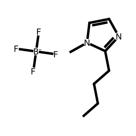 CCCCc1nccn1C.F[B-](F)(F)F